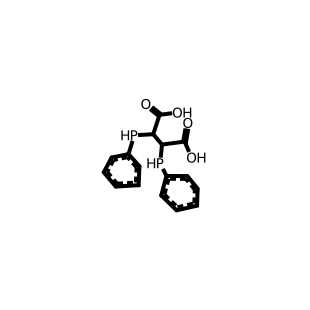 O=C(O)C(Pc1ccccc1)C(Pc1ccccc1)C(=O)O